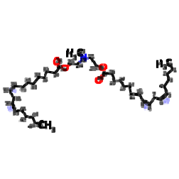 CCCCC/C=C\C/C=C\CCCCCCCC(=O)OCCN(C)CCOC(=O)CCCCCCC/C=C\C/C=C\CCCCC